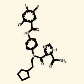 NC(=O)c1[nH]cnc1C(=O)N(CCC1CCCC1)c1ccc(NC(=O)c2cc(F)c(F)cc2Cl)cc1